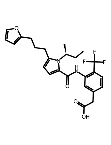 CC[C@H](C)n1c(CCCc2ccco2)ccc1C(=O)Nc1cc(CC(=O)O)ccc1C(F)(F)F